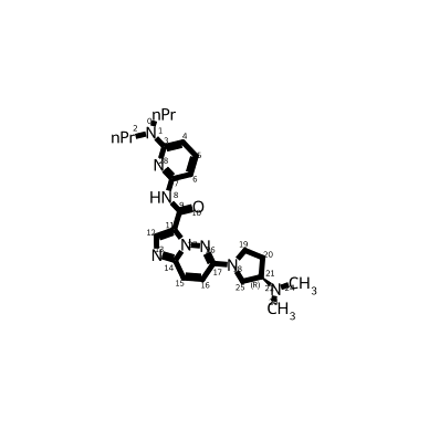 CCCN(CCC)c1cccc(NC(=O)c2cnc3ccc(N4CC[C@@H](N(C)C)C4)nn23)n1